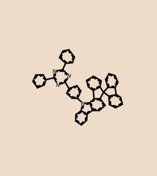 c1ccc(-c2nc(-c3ccccc3)nc(-c3ccc(-n4c5ccccc5c5ccc6c(c54)-c4ccccc4C64c5ccccc5-c5ccccc54)cc3)n2)cc1